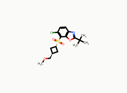 COC[C@H]1C[C@H](S(=O)(=O)c2c(Cl)ccc3nc(C(C)(C)C)oc23)C1